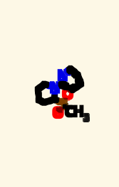 CS(=O)(=O)C1CCCCN1c1ccccn1